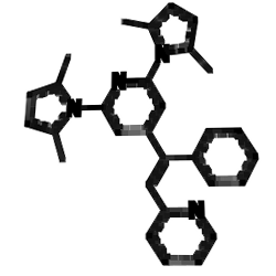 Cc1ccc(C)n1-c1cc(C(=Cc2ccccn2)c2ccccc2)cc(-n2c(C)ccc2C)n1